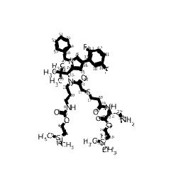 C[SiH](C)CCOC(=O)NCCCN(C(=O)CSCCC(=O)N[C@H](CN)C(=O)OCC[SiH](C)C)[C@@H](c1cc(-c2cc(F)ccc2F)cn1Cc1ccccc1)C(C)(C)C